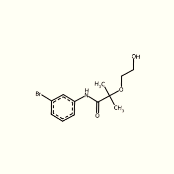 CC(C)(OCCO)C(=O)Nc1cccc(Br)c1